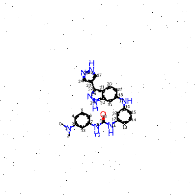 CN(C)c1cccc(NC(=O)Nc2cccc(Nc3ccc4c(-c5cn[nH]c5)n[nH]c4c3)c2)c1